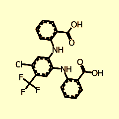 O=C(O)c1ccccc1Nc1cc(Cl)c(C(F)(F)F)cc1Nc1ccccc1C(=O)O